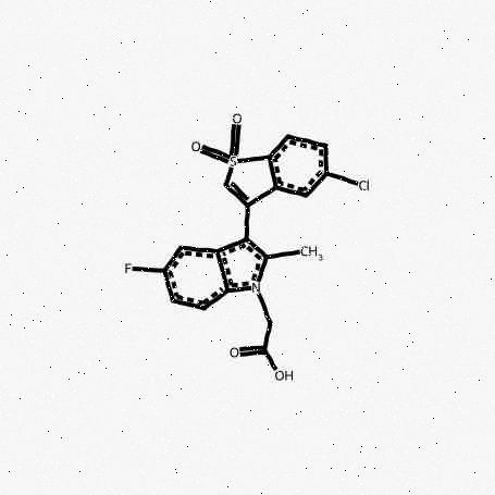 Cc1c(C2=CS(=O)(=O)c3ccc(Cl)cc32)c2cc(F)ccc2n1CC(=O)O